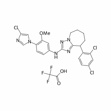 COc1cc(Nc2nc3n(n2)CCCCC3c2ccc(Cl)cc2Cl)ccc1-n1cnc(Cl)c1.O=C(O)C(F)(F)F